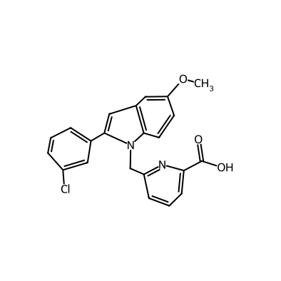 COc1ccc2c(c1)cc(-c1cccc(Cl)c1)n2Cc1cccc(C(=O)O)n1